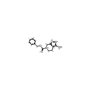 O=C(OCc1ccccc1)N1CCc2c(O)noc2C1